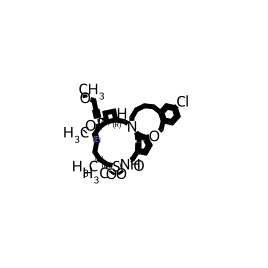 COCC#C[C@@]1(OC)/C=C/C[C@H](C)[C@@H](C)S(=O)(=O)NC(=O)c2ccc3c(c2)N(CCCCc2cc(Cl)ccc2CO3)C[C@@H]2CC[C@H]21